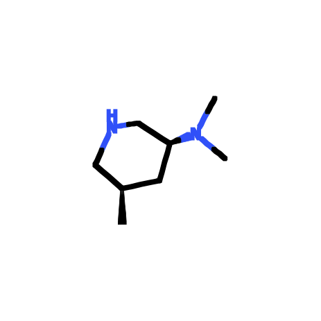 C[C@H]1CNC[C@@H](N(C)C)C1